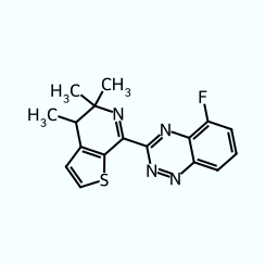 CC1c2ccsc2C(c2nnc3cccc(F)c3n2)=NC1(C)C